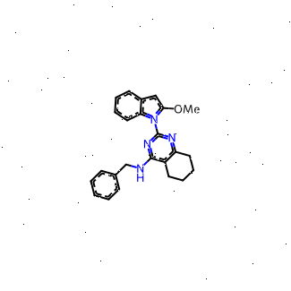 COc1cc2ccccc2n1-c1nc2c(c(NCc3ccccc3)n1)CCCC2